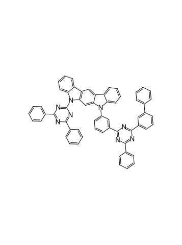 c1ccc(-c2cccc(-c3nc(-c4ccccc4)nc(-c4cccc(-n5c6ccccc6c6cc7c8ccccc8n(-c8nc(-c9ccccc9)nc(-c9ccccc9)n8)c7cc65)c4)n3)c2)cc1